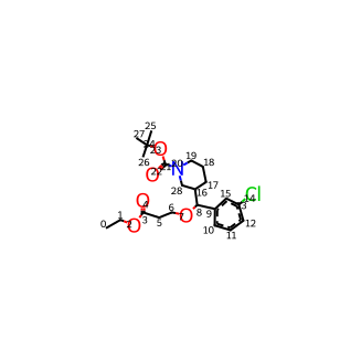 CCOC(=O)CCOC(c1cccc(Cl)c1)C1CCCN(C(=O)OC(C)(C)C)C1